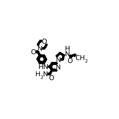 C=CC(=O)N[C@H]1CCN(c2cc(Nc3ccc(C(=O)N4CCOCC4)cc3)c(C(N)=O)cn2)C1